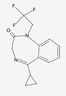 O=C1CN=C(C2CC2)c2ccccc2N1CC(F)(F)F